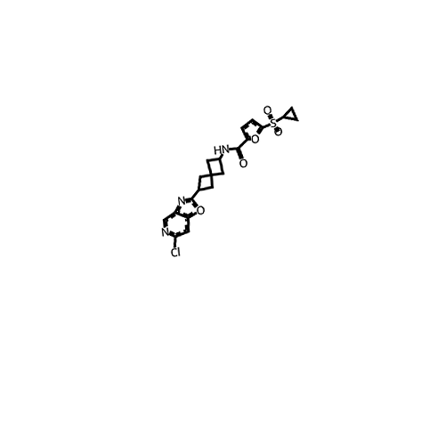 O=C(NC1CC2(C1)CC(c1nc3cnc(Cl)cc3o1)C2)c1ccc(S(=O)(=O)C2CC2)o1